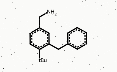 CC(C)(C)c1ccc(CN)cc1Cc1ccccc1